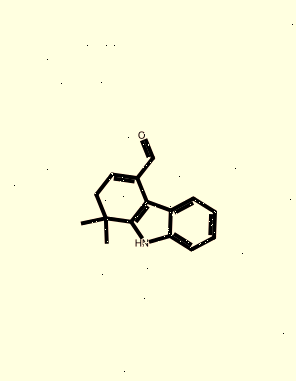 CC1(C)CC=C(C=O)c2c1[nH]c1ccccc21